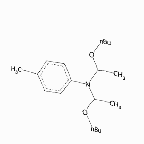 CCCCOC(C)N(c1ccc(C)cc1)C(C)OCCCC